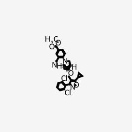 COC(=O)c1ccc(N2C[C@@H]3C[C@H]2C[C@H]3OCc2c(-c3c(Cl)cccc3Cl)noc2C2CC2)c(C#N)c1